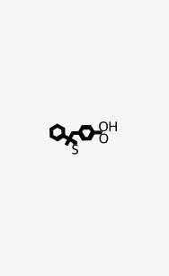 CC(C=S)(Cc1ccc(C(=O)O)cc1)C1=CCCCC1